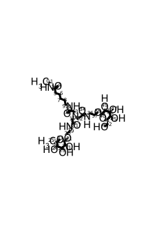 CCNC(=O)CCCCCNC(=O)CN(CC(=O)NCCO[C@@H]1O[C@@H](C)[C@@H](O)[C@@H](O)[C@@H]1O)CC(=O)NCCO[C@H]1O[C@H](CO)[C@@H](O)[C@H](O)[C@H]1O